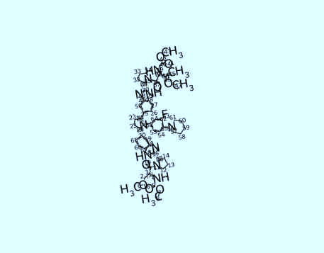 COC[C@H](NC(=O)OC)C(=O)N1CCC[C@H]1c1nc2cc([C@@H]3CC[C@@H](c4ccc5[nH]c([C@@H]6CCCN6C(=O)[C@@H](NC(=O)OC)[C@@H](C)OC)nc5c4)N3c3ccc(N4CCCCC4)c(F)c3)ccc2[nH]1